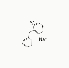 [Na+].[S-]c1ccccc1Cc1ccccc1